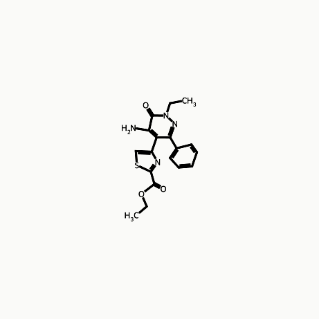 CCOC(=O)c1nc(-c2c(-c3ccccc3)nn(CC)c(=O)c2N)cs1